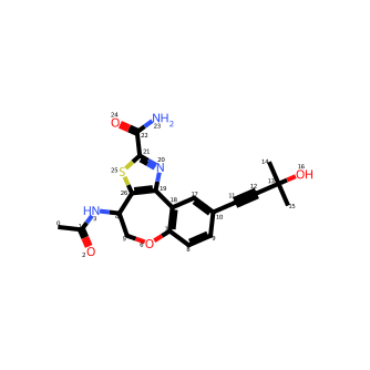 CC(=O)NC1COc2ccc(C#CC(C)(C)O)cc2-c2nc(C(N)=O)sc21